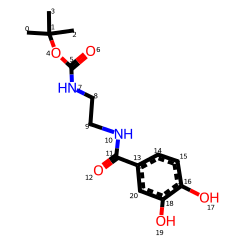 CC(C)(C)OC(=O)NCCNC(=O)c1ccc(O)c(O)c1